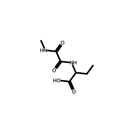 CCC(NC(=O)C(=O)NC)C(=O)O